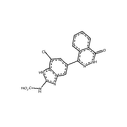 O=C(O)Nc1nc2cc(-c3n[nH]c(=O)c4ccccc34)cc(Cl)c2[nH]1